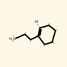 I.NCCC1=CCCCC1